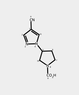 N#Cc1cnn(C2CCN(C(=O)O)C2)c1